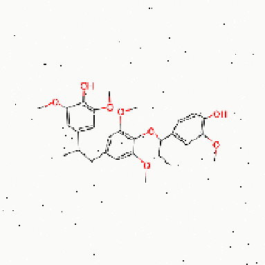 CCC(Oc1c(OC)cc(CC(C)c2cc(OC)c(O)c(OC)c2)cc1OC)c1ccc(O)c(OC)c1